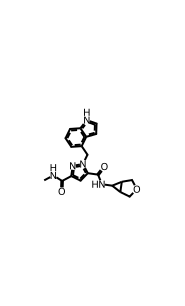 CNC(=O)c1cc(C(=O)NC2C3COCC32)n(Cc2cccc3[nH]ccc23)n1